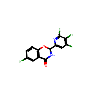 O=C1NC(c2cc(F)c(Cl)c(F)n2)Oc2ccc(Br)cc21